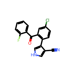 N#Cc1c[nH]cc1-c1ccc(Cl)cc1C(=O)c1ccccc1F